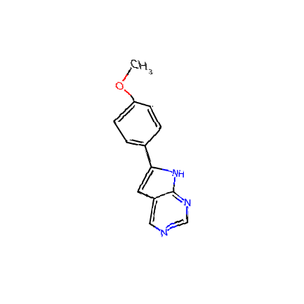 COc1[c]cc(-c2cc3cncnc3[nH]2)cc1